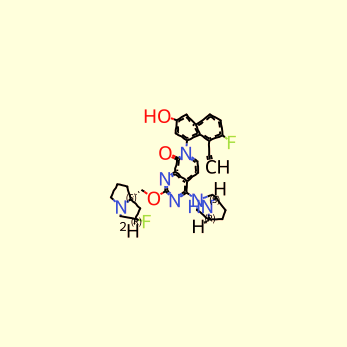 [2H][C@]1(F)CN2CCC[C@@]2(COc2nc(N3C[C@H]4CC[C@@H](C3)N4)c3ccn(-c4cc(O)cc5ccc(F)c(C#C)c45)c(=O)c3n2)C1